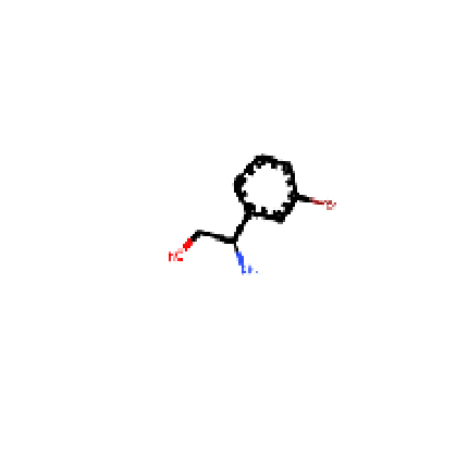 N[C@@H](CO)c1cccc(Br)c1